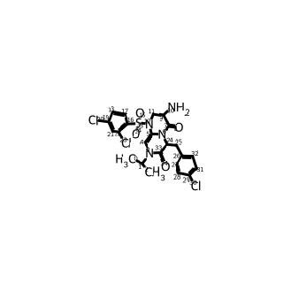 CC(C)N1C=C2N(C(=O)C(N)CN2S(=O)(=O)c2ccc(Cl)cc2Cl)C(Cc2ccc(Cl)cc2)C1=O